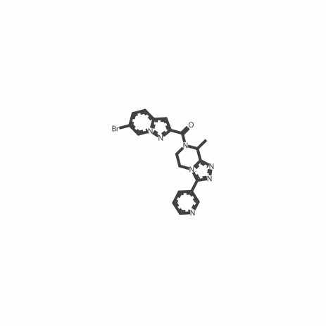 CC1c2nnc(-c3cccnc3)n2CCN1C(=O)c1cc2ccc(Br)cn2n1